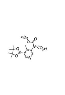 CCCCOC(=O)N(C(=O)O)c1cncc(B2OC(C)(C)C(C)(C)O2)c1C